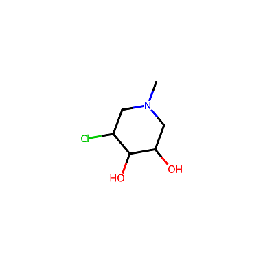 CN1CC(O)C(O)C(Cl)C1